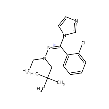 CCN(CC(C)(C)C)/N=C(\c1ccccc1Cl)n1ccnc1